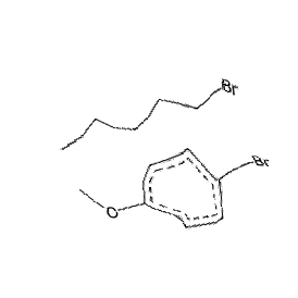 CCCCCBr.COc1ccc(Br)cc1